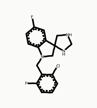 Fc1ccc2c(c1)C1(CNCN1)CN2Cc1c(F)cccc1Cl